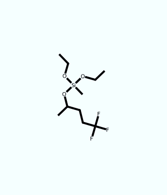 CCO[Si](C)(OCC)OC(C)CCC(F)(F)F